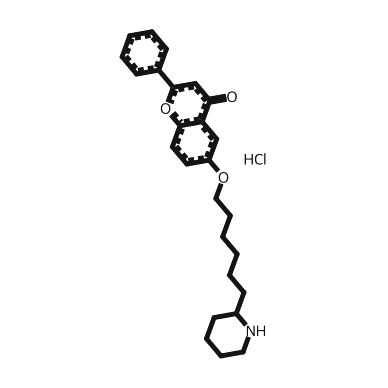 Cl.O=c1cc(-c2ccccc2)oc2ccc(OCCCCCCC3CCCCN3)cc12